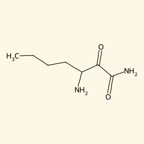 CCCCC(N)C(=O)C(N)=O